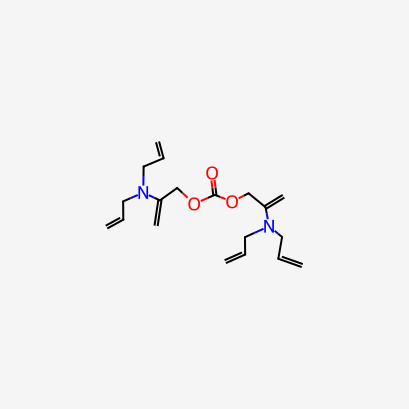 C=CCN(CC=C)C(=C)COC(=O)OCC(=C)N(CC=C)CC=C